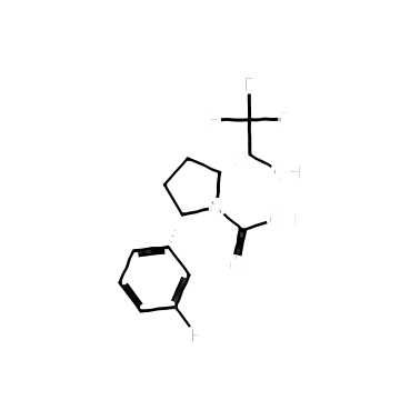 O=C(O)N1[C@@H](C(O)C(F)(F)F)CC[C@H]1c1cccc(F)c1